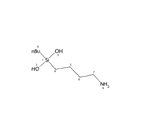 CCCC[Si](O)(O)CCCCN